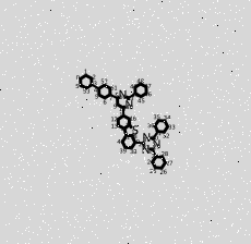 c1ccc(-c2ccc(-c3cc(-c4ccc5c(c4)sc4c(-c6nc(-c7ccccc7)nc(-c7ccccc7)n6)cccc45)nc(-c4ccccc4)n3)cc2)cc1